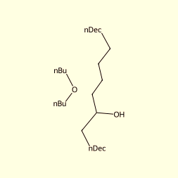 CCCCCCCCCCCCCCC(O)CCCCCCCCCCC.CCCCOCCCC